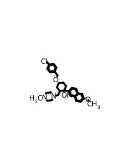 COc1ccc2cc(C3(O)CCC(OCc4ccc(Cl)cc4)CC3CN3CCN(C)CC3)ccc2c1